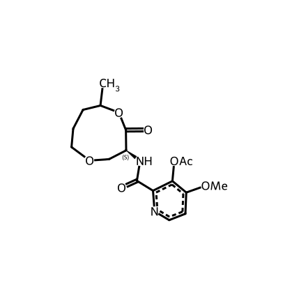 COc1ccnc(C(=O)N[C@H]2COCCCC(C)OC2=O)c1OC(C)=O